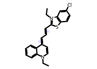 CCN1C=C/C(=C\C=C\c2sc3ccc(Cl)cc3[n+]2CC)c2ccccc21